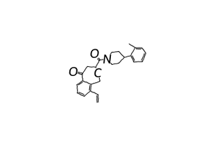 C=Cc1cccc2c1CCC(C(=O)N1CCC(c3ccccc3C)CC1)CC2=O